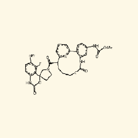 CCCc1ccc2c(c1F)[C@@]1(CCN(C(=O)[C@@H]3CCCCC(=O)Nc4cc(NC(=O)OC)ccc4-c4cccc3n4)C1)OC(=O)N2